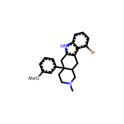 COc1cccc(C23CCN(C)CC2Cc2c([nH]c4cccc(Br)c24)C3)c1